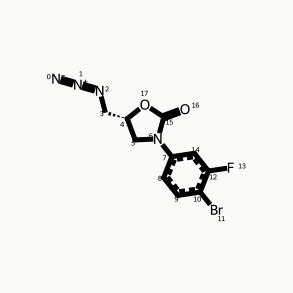 [N-]=[N+]=NC[C@H]1CN(c2ccc(Br)c(F)c2)C(=O)O1